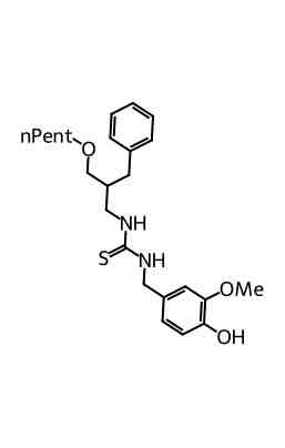 CCCCCOCC(CNC(=S)NCc1ccc(O)c(OC)c1)Cc1ccccc1